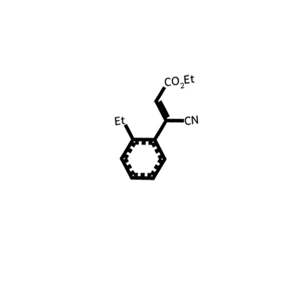 CCOC(=O)C=C(C#N)c1ccccc1CC